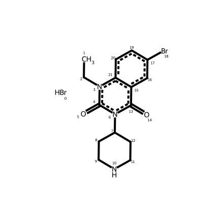 Br.CCn1c(=O)n(C2CCNCC2)c(=O)c2cc(Br)ccc21